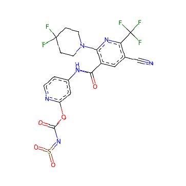 N#Cc1cc(C(=O)Nc2ccnc(OC(=O)N=S(=O)=O)c2)c(N2CCC(F)(F)CC2)nc1C(F)(F)F